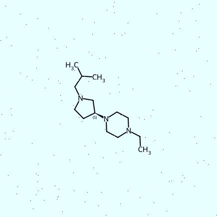 CCN1CCN([C@H]2CCN(CC(C)C)C2)CC1